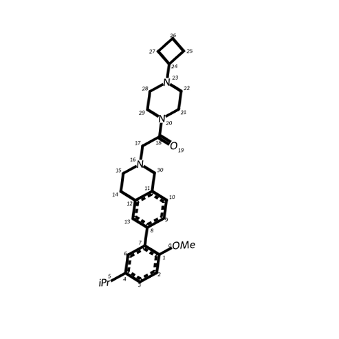 COc1ccc(C(C)C)cc1-c1ccc2c(c1)CCN(CC(=O)N1CCN(C3CCC3)CC1)C2